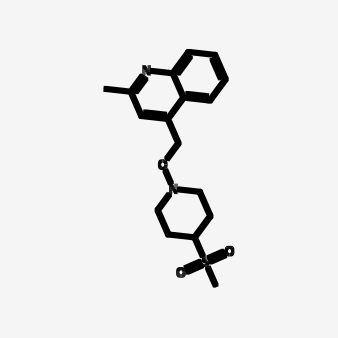 Cc1cc(CON2CCC(S(C)(=O)=O)CC2)c2ccccc2n1